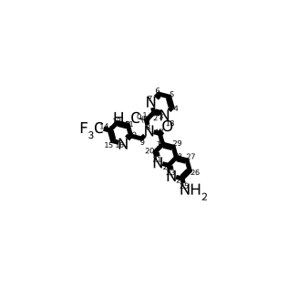 C[C@H](c1ncccn1)N(Cc1ccc(C(F)(F)F)cn1)C(=O)c1cnc2nc(N)ccc2c1